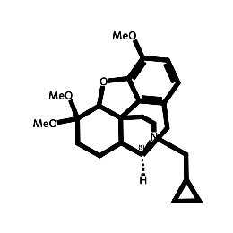 COc1ccc2c3c1OC1C(OC)(OC)CCC4[C@H](C2)N(CC2CC2)CCC341